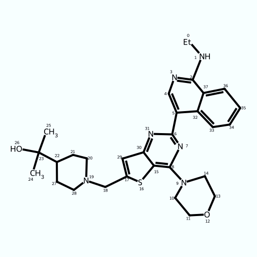 CCNc1ncc(-c2nc(N3CCOCC3)c3sc(CN4CCC(C(C)(C)O)CC4)cc3n2)c2ccccc12